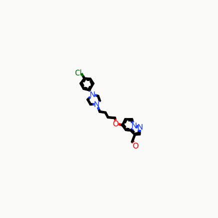 O=Cc1cnn2ccc(OCCCCN3CCN(c4ccc(Cl)cc4)CC3)cc12